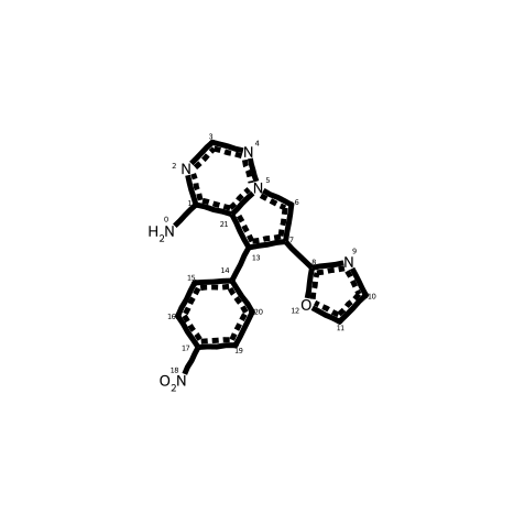 Nc1ncnn2cc(-c3ncco3)c(-c3ccc([N+](=O)[O-])cc3)c12